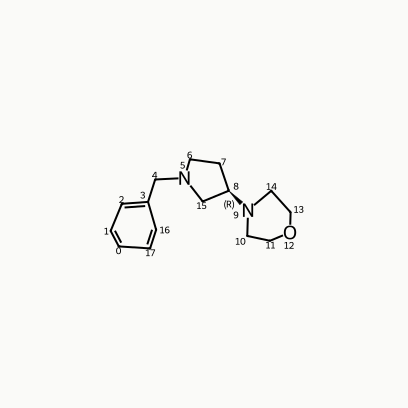 c1ccc(CN2CC[C@@H](N3CCOCC3)C2)cc1